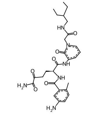 CCC(CC)CNC(=O)Cn1cccc(NC(=O)[C@H](CCC(=O)C(N)=O)NC(=O)c2cc(N)ccc2C)c1=O